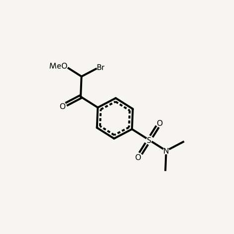 COC(Br)C(=O)c1ccc(S(=O)(=O)N(C)C)cc1